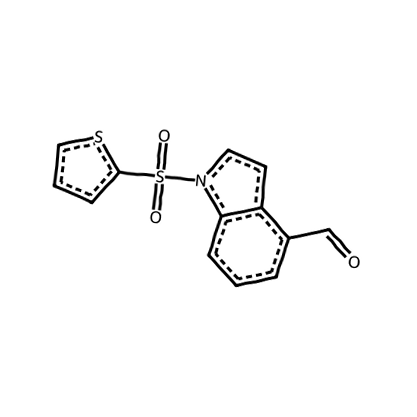 O=Cc1cccc2c1ccn2S(=O)(=O)c1cccs1